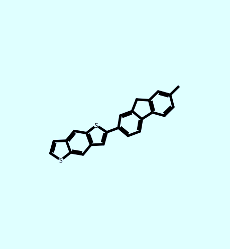 Cc1ccc2c(c1)Cc1cc(-c3cc4cc5sccc5cc4s3)ccc1-2